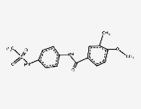 COc1ccc(C(=O)Nc2ccc(NS(C)(=O)=O)cc2)cc1C